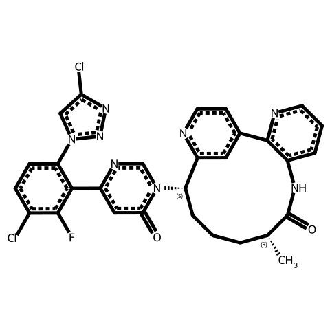 C[C@@H]1CCC[C@H](n2cnc(-c3c(-n4cc(Cl)nn4)ccc(Cl)c3F)cc2=O)c2cc(ccn2)-c2ncccc2NC1=O